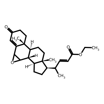 CCOC(=O)/C=C/C(C)[C@H]1CC[C@H]2[C@@H]3C4OC4C4=CC(=O)CC[C@]4(C)[C@H]3CC[C@]12C